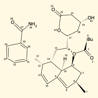 CC[C@H](C)C(=O)O[C@H]1C[C@@H](C)C=C2C=C[C@H](C)[C@H](CC[C@H]3C[C@@H](O)CC(=O)O3)[C@H]21.NC(=O)c1ccccc1